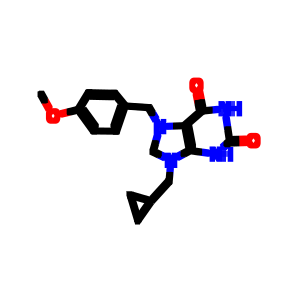 COc1ccc(CN2CN(CC3CC3)c3[nH]c(=O)[nH]c(=O)c32)cc1